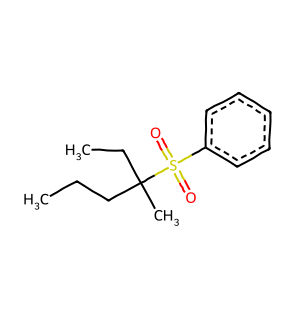 CCCC(C)(CC)S(=O)(=O)c1ccccc1